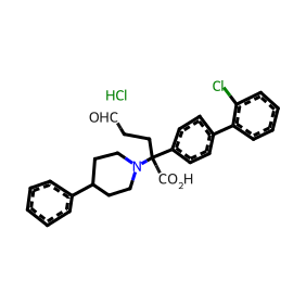 Cl.O=CCCC(C(=O)O)(c1ccc(-c2ccccc2Cl)cc1)N1CCC(c2ccccc2)CC1